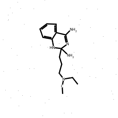 CCN(CC)CCCC1(N)N=C(N)c2ccccc2N1